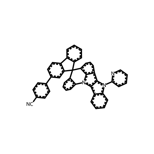 N#Cc1ccc(-c2ccc3c(c2)C2(c4ccccc4-3)c3ccccc3-n3c4c2cccc4c2c3c3ccccc3n2-c2ccccn2)cc1